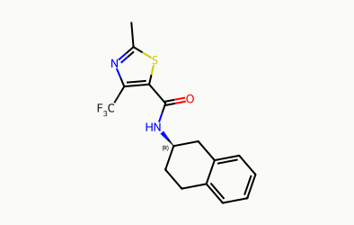 Cc1nc(C(F)(F)F)c(C(=O)N[C@@H]2CCc3ccccc3C2)s1